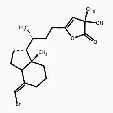 C[C@H](CCC1=C[C@](C)(O)C(=O)O1)[C@H]1CCC2C(=CBr)CCC[C@]21C